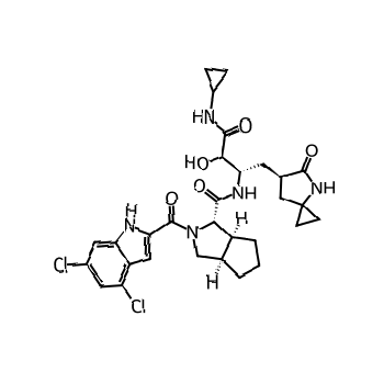 O=C(NC1CC1)C(O)[C@H](C[C@@H]1CC2(CC2)NC1=O)NC(=O)[C@@H]1[C@H]2CCC[C@H]2CN1C(=O)c1cc2c(Cl)cc(Cl)cc2[nH]1